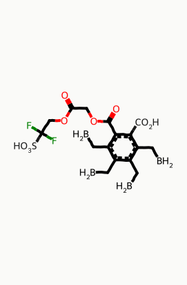 BCc1c(CB)c(CB)c(C(=O)OCC(=O)OCC(F)(F)S(=O)(=O)O)c(C(=O)O)c1CB